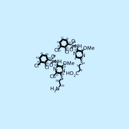 COc1nc(SCCC(=O)O)cnc1NS(=O)(=O)c1cccc(Cl)c1Cl.COc1nc(SCCN)c(Cl)nc1NS(=O)(=O)c1cccc(Cl)c1Cl